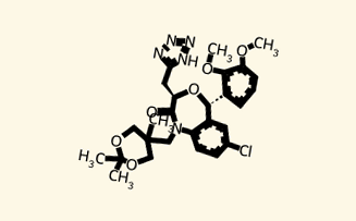 COc1cccc([C@H]2O[C@H](Cc3nnn[nH]3)C(=O)N(CC3(C)COC(C)(C)OC3)c3ccc(Cl)cc32)c1OC